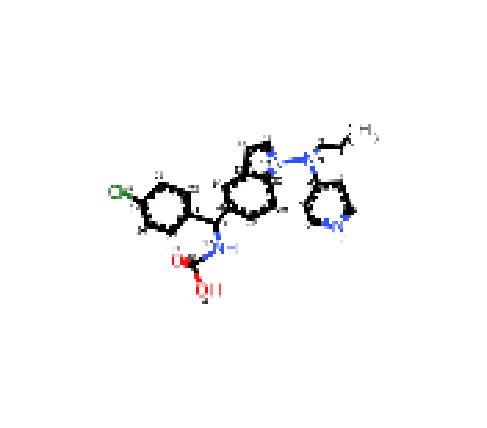 CCCN(c1ccncc1)n1ccc2cc(C(NC(=O)O)c3ccc(Cl)cc3)ccc21